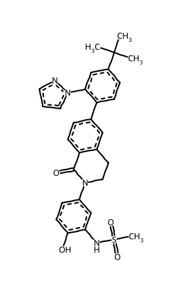 CC(C)(C)c1ccc(-c2ccc3c(c2)CCN(c2ccc(O)c(NS(C)(=O)=O)c2)C3=O)c(-n2cccn2)c1